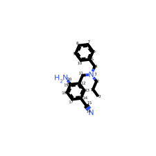 CCCN(Cc1ccccc1)Cc1cc(C#N)ccc1N